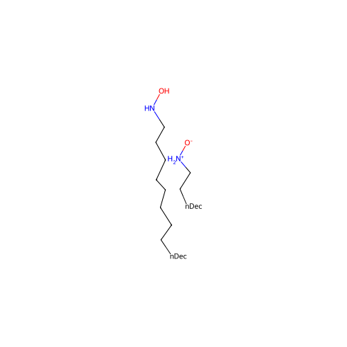 CCCCCCCCCCCCCCCCCCNO.CCCCCCCCCCCC[NH2+][O-]